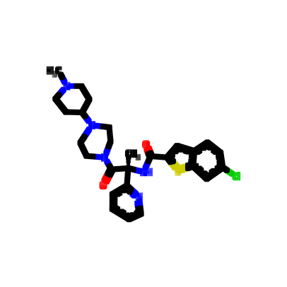 CN1CCC(N2CCN(C(=O)[C@@](C)(NC(=O)c3cc4ccc(Cl)cc4s3)c3ccccn3)CC2)CC1